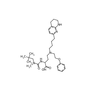 CN(CC(C)(C)C)C(=O)NC(CCN(CCCCc1ccc2c(n1)NCCC2)CCOc1ccccc1)C(=O)O